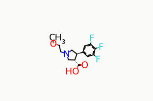 COCCN1C[C@@H](C(=O)O)[C@H](c2cc(F)c(F)c(F)c2)C1